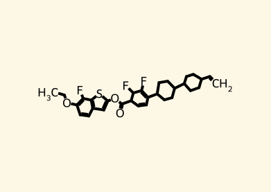 C=CC1CCC(C2CCC(C3=C(F)C(F)C(C(=O)Oc4cc5ccc(OCC)c(F)c5s4)C=C3)CC2)CC1